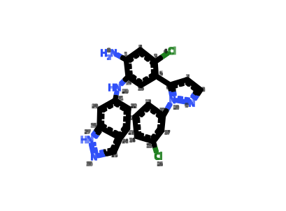 Nc1cc(Cl)c(-c2ccnn2-c2cccc(Cl)c2)cc1Nc1ccc2cn[nH]c2c1